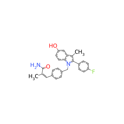 CC(=Cc1ccc(Cn2c(-c3ccc(F)cc3)c(C)c3cc(O)ccc32)cc1)C(N)=O